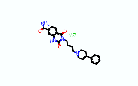 Cl.NC(=O)c1ccc2c(=O)n(CCCCN3CC=C(c4ccccc4)CC3)c(=O)[nH]c2c1